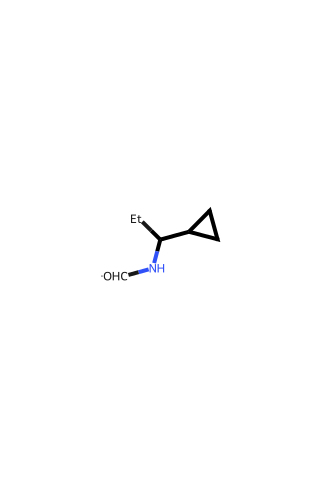 CCC(N[C]=O)C1CC1